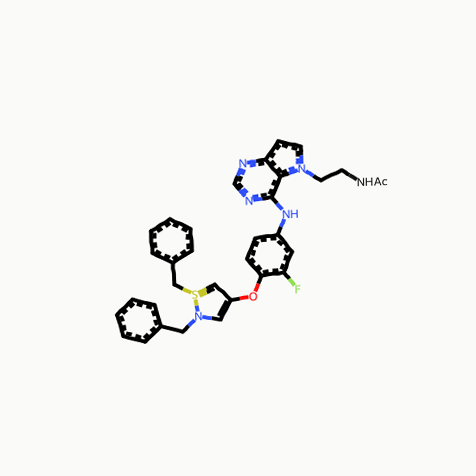 CC(=O)NCCn1ccc2ncnc(Nc3ccc(OC4=CN(Cc5ccccc5)S(Cc5ccccc5)=C4)c(F)c3)c21